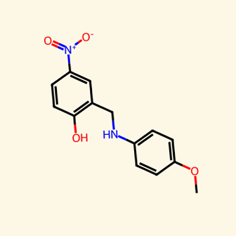 COc1ccc(NCc2cc([N+](=O)[O-])ccc2O)cc1